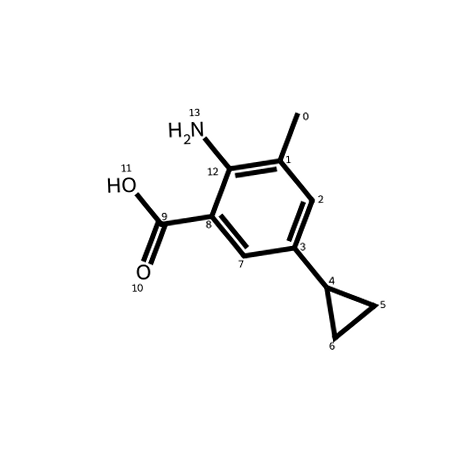 Cc1cc(C2CC2)cc(C(=O)O)c1N